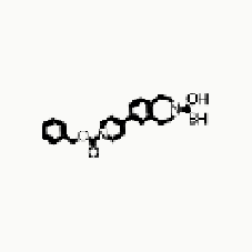 B=C(O)N1CCc2ccc(C3=CCN(C(=O)OCc4ccccc4)CC3)cc2CC1